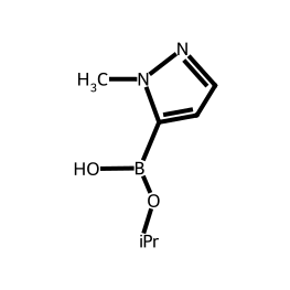 CC(C)OB(O)c1ccnn1C